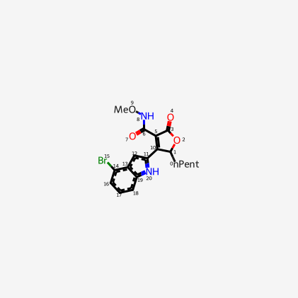 CCCCCC1OC(=O)C(C(=O)NOC)=C1c1cc2c(Br)cccc2[nH]1